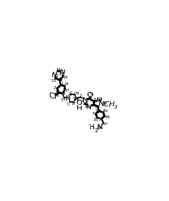 Cn1nc2c(=O)n(CC3(O)CCN(Cc4ccc(-c5cncnc5)cc4Cl)CC3)cnc2c1-c1ccc(CN)cc1